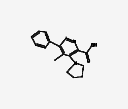 Cc1c(-c2ccccc2)[c]nc(C(=O)O)c1N1CCCC1